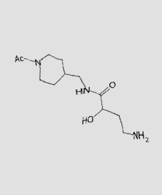 CC(=O)N1CCC(CNC(=O)C(O)CCN)CC1